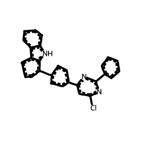 Clc1cc(-c2ccc(-c3cccc4c3[nH]c3ccccc34)cc2)nc(-c2ccccc2)n1